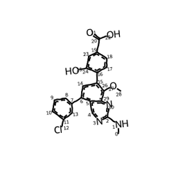 CNc1ncc2c(-c3cccc(Cl)c3)cc(-c3ccc(C(=O)O)cc3O)c(OC)c2n1